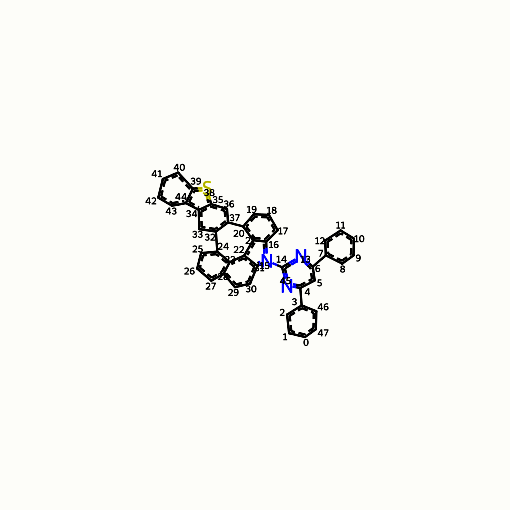 c1ccc(-c2cc(-c3ccccc3)nc(-n3c4cccc5c4c4c6c(cccc6ccc43)-c3cc4c(cc3-5)sc3ccccc34)n2)cc1